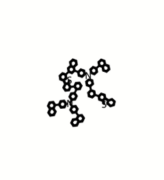 c1cc(-c2ccc(N(c3ccc(-c4cccc5ccccc45)cc3)c3ccc(-c4cc(-c5cccc6c5sc5c(-c7ccccc7-c7ccc(N(c8ccc(-c9cccc%10ccccc9%10)cc8)c8ccc(-c9cccc%10ccccc9%10)cc8)cc7)cccc56)cc5ccccc45)cc3)cc2)cc(-c2ccc3c(c2)sc2ccccc23)c1